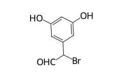 O=CC(Br)c1cc(O)cc(O)c1